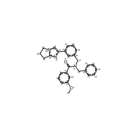 COc1cccc(C(=O)N(Cc2ccccc2)Cc2cccc(-c3cn4c(n3)CCC4)c2)c1